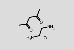 CC(=O)CC(C)=O.NCCN.[Co]